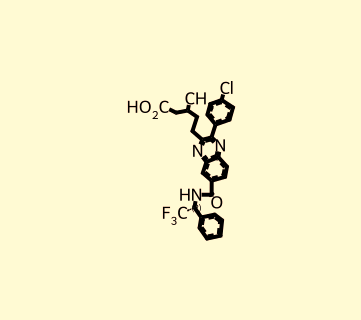 CC(CCc1nc2cc(C(=O)N[C@H](c3ccccc3)C(F)(F)F)ccc2nc1-c1ccc(Cl)cc1)CC(=O)O